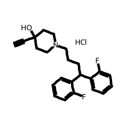 C#CC1(O)CCN(CCCC(c2ccccc2F)c2ccccc2F)CC1.Cl